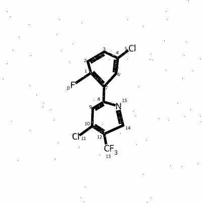 Fc1ccc(Cl)cc1-c1cc(Cl)c(C(F)(F)F)cn1